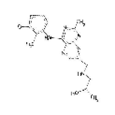 Cc1nc(Nc2cccc(Cl)c2C)c2ncc(CNC[C@H](C)O)cc2n1